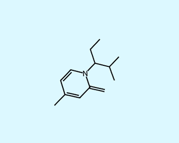 C=C1C=C(C)C=CN1C(CC)C(C)C